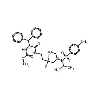 COC(=O)N[C@H](C(=O)NCCC(F)(F)C[C@@H](CO)N(C(C)C)S(=O)(=O)c1ccc(N)cc1)C(c1ccccc1)c1ccccc1